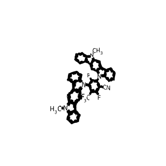 Cn1c2ccccc2c2cc3c(cc21)c1ccccc1n3-c1c(F)c(-n2c3ccccc3c3cc4c(cc32)c2ccccc2n4C)c(C(F)(F)F)c(F)c1C#N